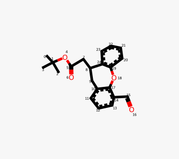 CC(C)(C)OC(=O)CC1Cc2cccc(C=O)c2Oc2ccccc21